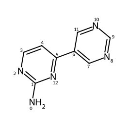 Nc1nccc(-c2cncnc2)n1